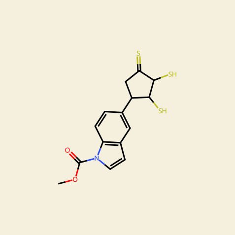 COC(=O)n1ccc2cc(C3CC(=S)C(S)C3S)ccc21